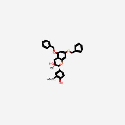 COc1cc([C@H]2Oc3cc(OCc4ccccc4)cc(OCc4ccccc4)c3C[C@@]2(O)C(C)=O)ccc1O